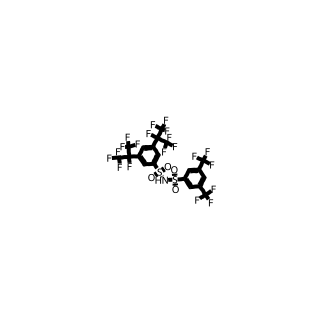 O=S(=O)(NS(=O)(=O)c1cc(C(F)(C(F)(F)F)C(F)(F)F)cc(C(F)(C(F)(F)F)C(F)(F)F)c1)c1cc(C(F)(F)F)cc(C(F)(F)F)c1